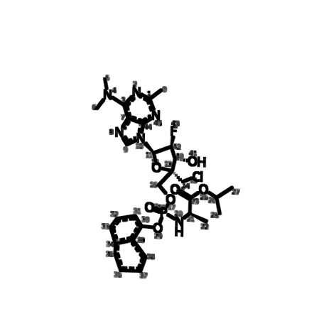 Cc1nc(N(C)C)c2ncn([C@@H]3O[C@](CCl)(COP(=O)(N[C@H](C)C(=O)OC(C)C)Oc4cccc5ccccc45)[C@@H](O)[C@@H]3F)c2n1